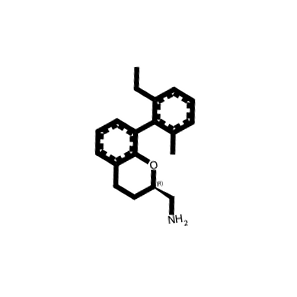 CCc1cccc(C)c1-c1cccc2c1O[C@@H](CN)CC2